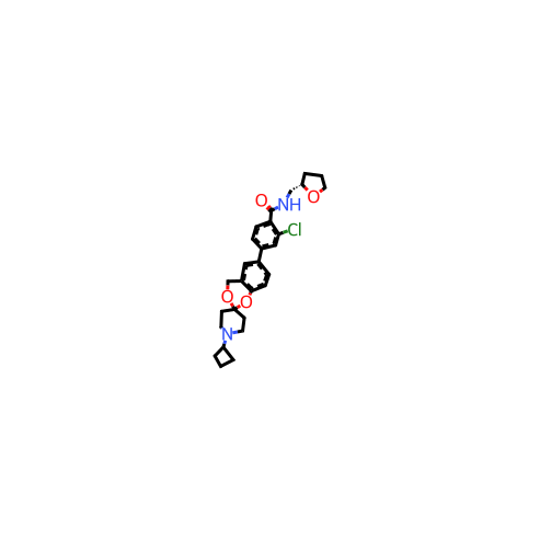 O=C(NC[C@@H]1CCCO1)c1ccc(-c2ccc3c(c2)COC2(CCN(C4CCC4)CC2)O3)cc1Cl